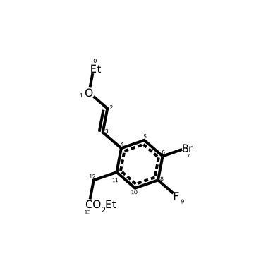 CCOC=Cc1cc(Br)c(F)cc1CC(=O)OCC